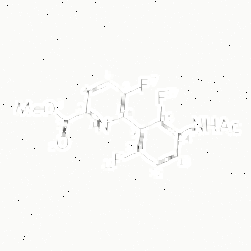 COC(=O)c1ccc(F)c(-c2c(F)ccc(NC(C)=O)c2F)n1